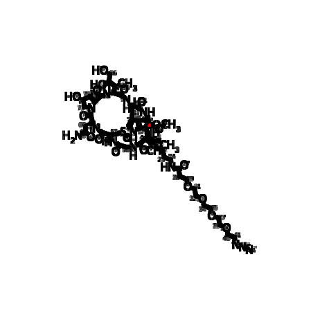 CC[C@H](C)[C@@H]1NC(=O)CNC(=O)[C@@H]2Cc3c([nH]c4c(CSCCCCNC(=O)CCOCCOCCOCCOCCN=[N+]=[N-])c(OC)ccc34)[S+]([O-])C[C@H](NC(=O)CNC1=O)C(=O)N[C@@H](CC(N)=O)C(=O)N1C[C@H](O)C[C@H]1C(=O)N[C@@H]([C@@H](C)[C@@H](O)CO)C(=O)N2